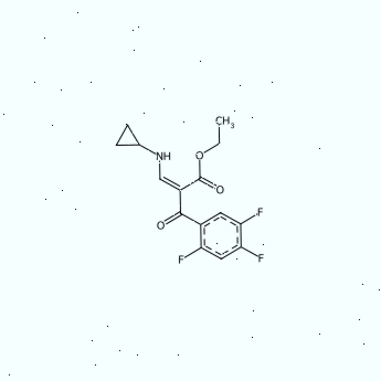 CCOC(=O)C(=CNC1CC1)C(=O)c1cc(F)c(F)cc1F